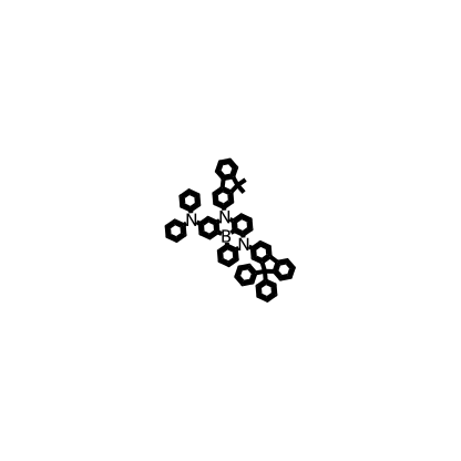 CC1(C)c2ccccc2-c2ccc(N3c4cc(N(c5ccccc5)c5ccccc5)ccc4B4c5ccccc5N(c5ccc6c(c5)C(c5ccccc5)(c5ccccc5)c5ccccc5-6)c5cccc3c54)cc21